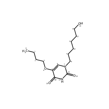 CCCCOc1cn(CCCCCCO)c(=O)[nH]c1=O